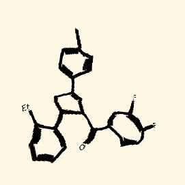 CCc1ccccc1C1CC(c2ccc(C)cc2)=CC1C(=O)c1ccc(F)c(F)c1